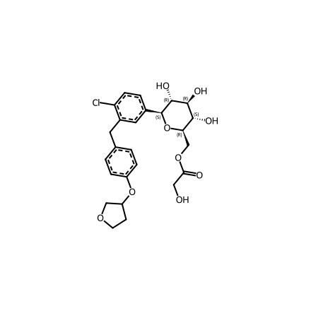 O=C(CO)OC[C@H]1O[C@@H](c2ccc(Cl)c(Cc3ccc(OC4CCOC4)cc3)c2)[C@H](O)[C@@H](O)[C@@H]1O